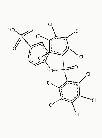 O=P(Nc1ccc(S(=O)(=O)O)cc1)(c1c(Cl)c(Cl)c(Cl)c(Cl)c1Cl)c1c(Cl)c(Cl)c(Cl)c(Cl)c1Cl